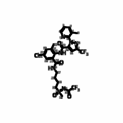 Cc1cccnc1-n1nc(C(F)(F)F)cc1C(=O)Nc1c(C)cc(Cl)cc1C(=O)NCCCCS(C)(=O)=NC(=O)C(F)(F)F